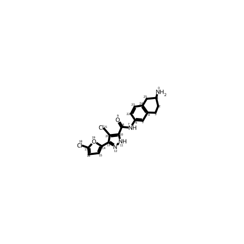 NC1CCc2cc(NC(=O)c3[nH]nc(-c4ccc(Cl)o4)c3Cl)ccc2C1